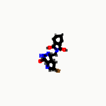 O=C1c2ccccc2C(=O)N1Cc1n[nH]c(=O)c2ncc(Br)cc12